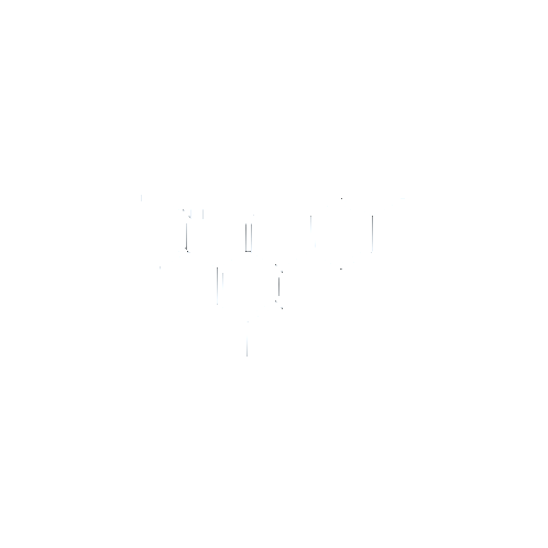 Cc1cc(C(=O)NC(C)C)c(=O)n(-c2ccc(F)cc2)n1